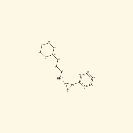 c1ccc(C2C[C@@H]2NCCCC2CCCCC2)cc1